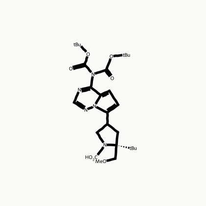 COC[C@]1(C(C)(C)C)CC(c2ccc3c(N(C(=O)OC(C)(C)C)C(=O)OC(C)(C)C)ncnn23)CN1C(=O)O